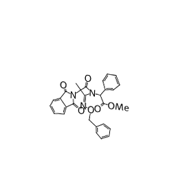 COC(=O)C(c1ccccc1)N1C(=O)C(C)(N2C(=O)c3ccccc3C2=O)C1=NOCc1ccccc1